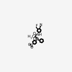 C[C@](O)(CN(c1ccccc1)c1ccc([N+](=O)[O-])cc1)C(=O)Nc1ccc(C#N)c(CF)c1